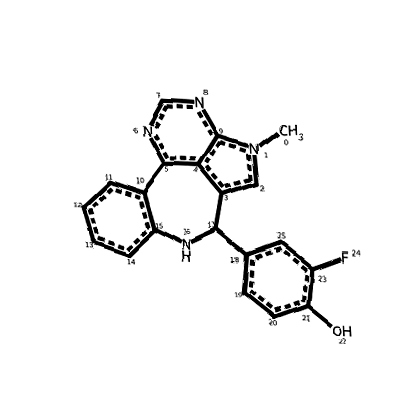 Cn1cc2c3c(ncnc31)-c1ccccc1NC2c1ccc(O)c(F)c1